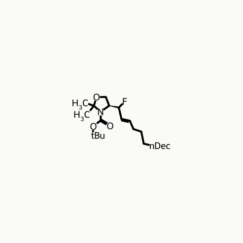 CCCCCCCCCCCCC/C=C/C(F)[C@@H]1COC(C)(C)N1C(=O)OC(C)(C)C